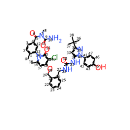 Cc1ccc(C(=O)N(C)C(N)=O)cc1-n1c(C)cc(OCc2ccccc2CNC(=O)Nc2cc(C(C)(C)C)nn2-c2ccc(O)cc2)c(Cl)c1=O